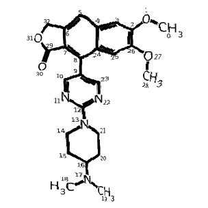 COc1cc2cc3c(c(-c4cnc(N5CCC(N(C)C)CC5)nc4)c2cc1OC)C(=O)OC3